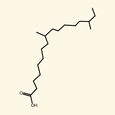 CCC(C)CCCCCC(C)CCCCCCCC(=O)O